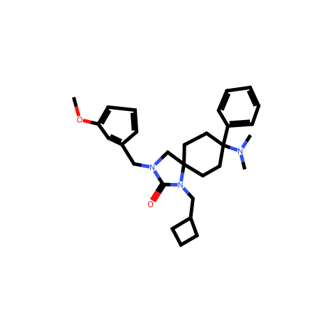 COc1cccc(CN2CC3(CCC(c4ccccc4)(N(C)C)CC3)N(CC3CCC3)C2=O)c1